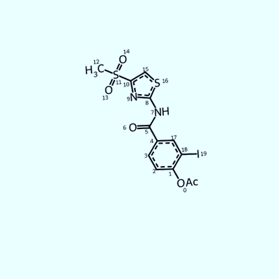 CC(=O)Oc1ccc(C(=O)Nc2nc(S(C)(=O)=O)cs2)cc1I